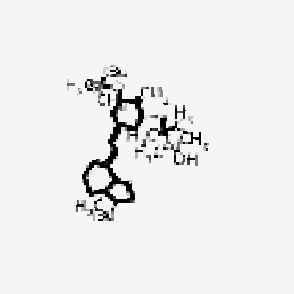 C=C1[C@H](CC(C)(C)[Si](C)(C)O)C/C(=C\C=C2/CCC[C@@]3(C)C2CCC3[C@H](C)CC)C[C@H]1O[Si](C)(C)C(C)(C)C